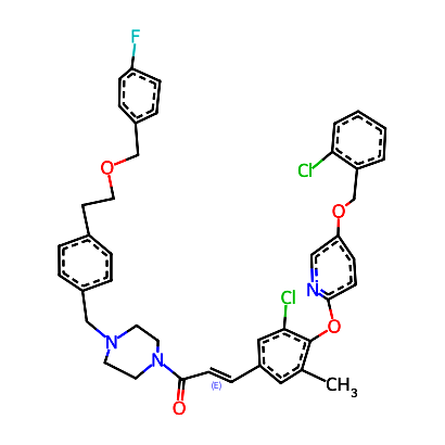 Cc1cc(/C=C/C(=O)N2CCN(Cc3ccc(CCOCc4ccc(F)cc4)cc3)CC2)cc(Cl)c1Oc1ccc(OCc2ccccc2Cl)cn1